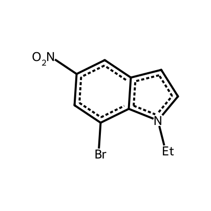 CCn1ccc2cc([N+](=O)[O-])cc(Br)c21